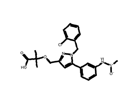 C[S+]([O-])Nc1cccc(-c2cc(COC(C)(C)C(=O)O)nn2Cc2ccccc2Cl)c1